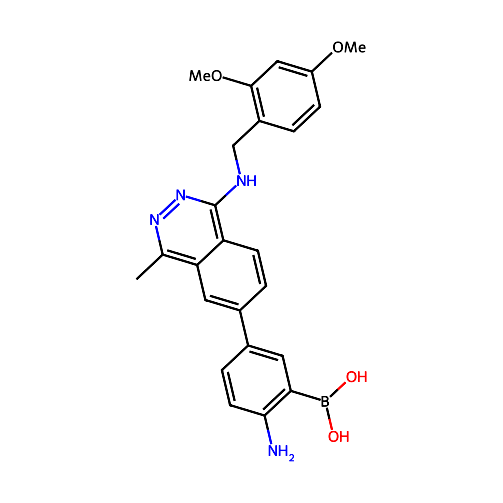 COc1ccc(CNc2nnc(C)c3cc(-c4ccc(N)c(B(O)O)c4)ccc23)c(OC)c1